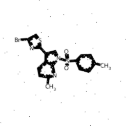 Cc1ccc(S(=O)(=O)n2cc(-c3nc(Br)cs3)c3ccc(C)nc32)cc1